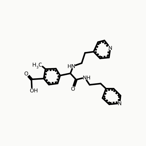 Cc1cc(C(NCCc2ccncc2)C(=O)NCCc2ccncc2)ccc1C(=O)O